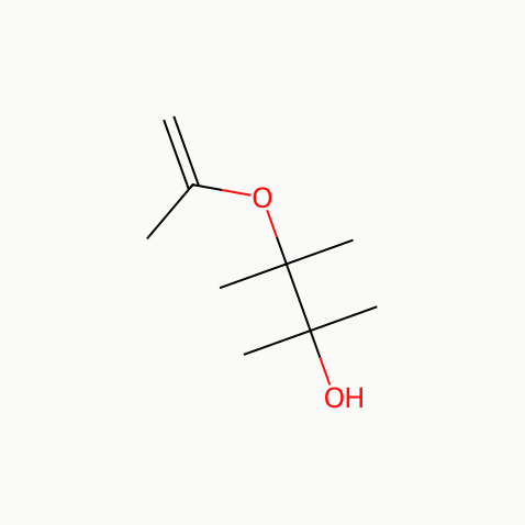 C=C(C)OC(C)(C)C(C)(C)O